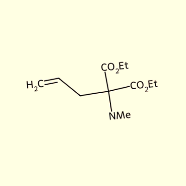 C=CCC(NC)(C(=O)OCC)C(=O)OCC